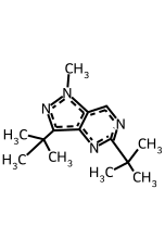 Cn1nc(C(C)(C)C)c2nc(C(C)(C)C)ncc21